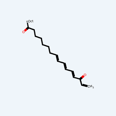 C=CC(=O)/C=C/C=C/C=C/CCCCCCC(=O)CCCCCCCC